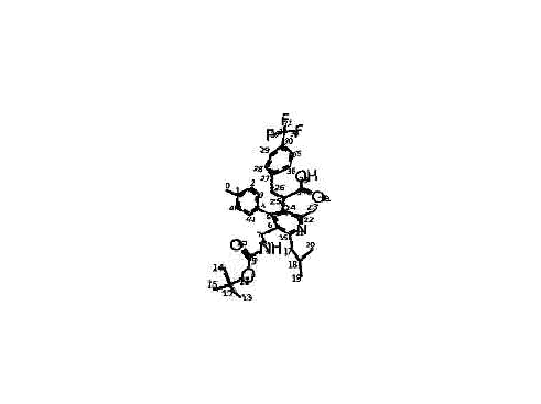 Cc1ccc(-c2c(CNC(=O)OC(C)(C)C)c(CC(C)C)nc(C)c2C(Cc2ccc(C(F)(F)F)cc2)C(=O)O)cc1